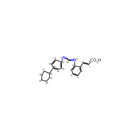 O=C(O)C=Cc1ccccc1N=C=Nc1ccc(C2CCCCC2)cc1